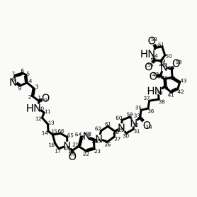 O=C(/C=C/c1cccnc1)NCCCCC1CCN(C(=O)c2ccc(N3CCC(N4CCN(C(=O)CCCCNc5cccc6c5C(=O)N(C5CCC(=O)NC5=O)C6=O)CC4)CC3)nc2)CC1